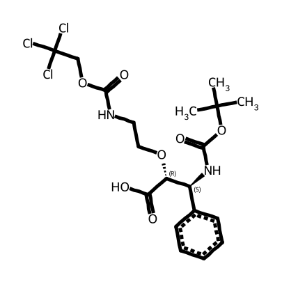 CC(C)(C)OC(=O)N[C@@H](c1ccccc1)[C@@H](OCCNC(=O)OCC(Cl)(Cl)Cl)C(=O)O